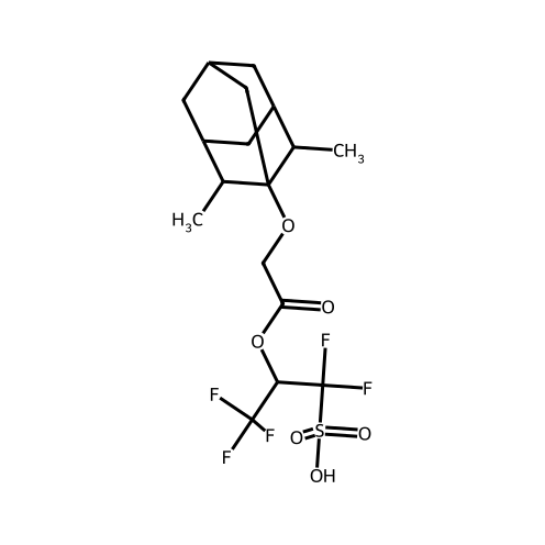 CC1C2CC3CC(C2)C(C)C1(OCC(=O)OC(C(F)(F)F)C(F)(F)S(=O)(=O)O)C3